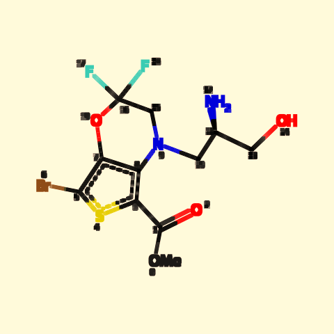 COC(=O)c1sc(Br)c2c1N(C[C@@H](N)CO)CC(F)(F)O2